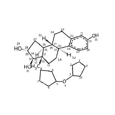 C1CCC(OC2CCCC2)C1.C[C@]12CC[C@@H]3c4ccc(O)cc4CC[C@H]3[C@@H]1C[C@@H](O)[C@@H]2O